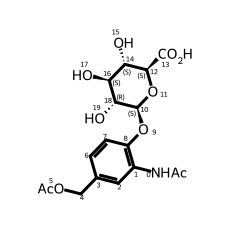 CC(=O)Nc1cc(COC(C)=O)ccc1O[C@@H]1O[C@H](C(=O)O)[C@@H](O)[C@H](O)[C@H]1O